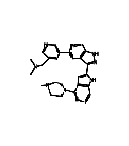 CN(C)Cc1cncc(-c2cc3c(-c4cc5c(N6CCN(C)CC6)nccc5[nH]4)n[nH]c3cn2)c1